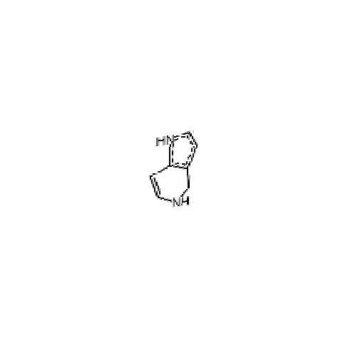 [c]1cc2c([nH]1)C=CNC2